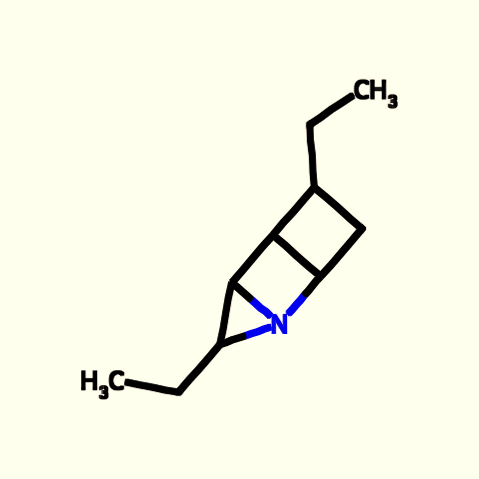 CCC1CC2C1C1C(CC)N21